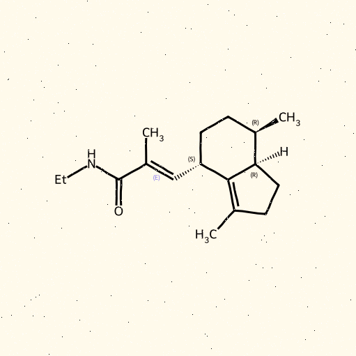 CCNC(=O)/C(C)=C/[C@@H]1CC[C@@H](C)[C@H]2CCC(C)=C12